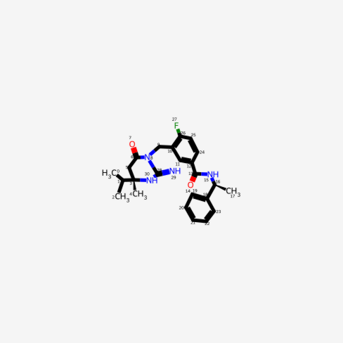 CC(C)[C@]1(C)CC(=O)N(Cc2cc(C(=O)N[C@@H](C)c3ccccc3)ccc2F)C(=N)N1